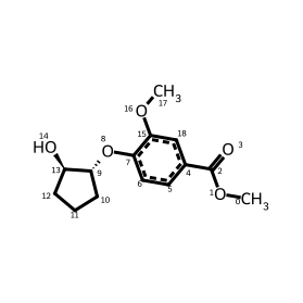 COC(=O)c1ccc(O[C@@H]2CCC[C@H]2O)c(OC)c1